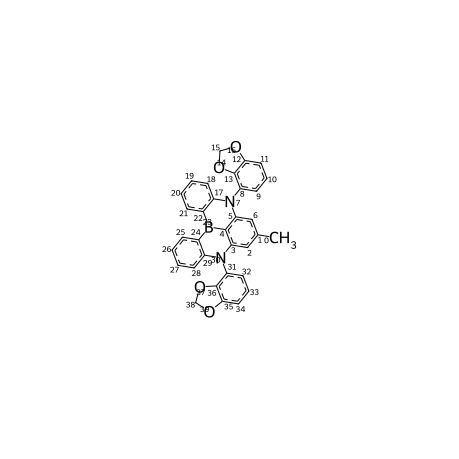 Cc1cc2c3c(c1)N(c1cccc4c1OCO4)c1ccccc1B3c1ccccc1N2c1cccc2c1OCO2